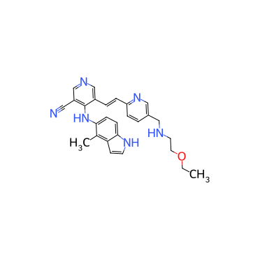 CCOCCNCc1ccc(C=Cc2cncc(C#N)c2Nc2ccc3[nH]ccc3c2C)nc1